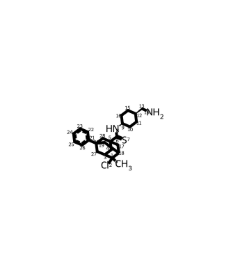 CC1(Cl)C2CC3(C(=S)N[C@H]4CC[C@H](CN)CC4)CC1CC(c1ccccc1)(C2)C3